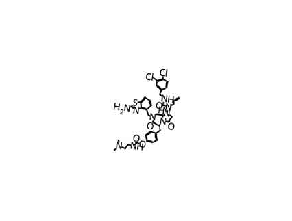 C=CCN(C(=O)NCc1ccc(Cl)c(Cl)c1)N1CC(=O)N2[C@@H](Cc3ccc(OC(=O)NCCN(C)C)cc3)C(=O)N(Cc3cccc4sc(N)nc34)C[C@@H]21